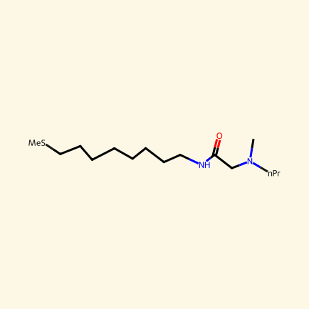 CCCN(C)CC(=O)NCCCCCCCCSC